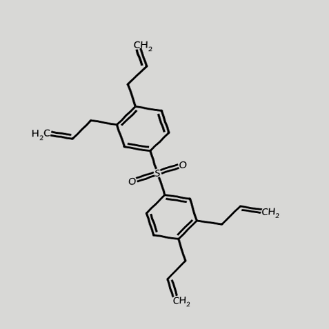 C=CCc1ccc(S(=O)(=O)c2ccc(CC=C)c(CC=C)c2)cc1CC=C